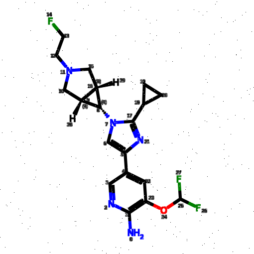 Nc1ncc(-c2cn([C@@H]3[C@@H]4CN(CCF)C[C@@H]43)c(C3CC3)n2)cc1OC(F)F